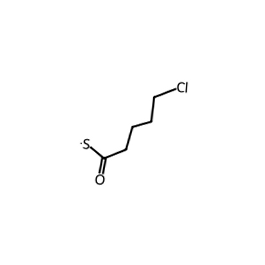 O=C([S])CCCCCl